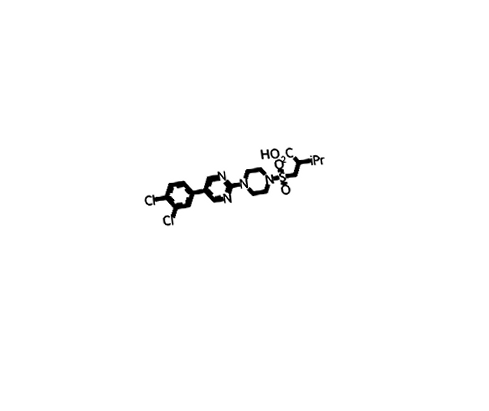 CC(C)C(CS(=O)(=O)N1CCN(c2ncc(-c3ccc(Cl)c(Cl)c3)cn2)CC1)C(=O)O